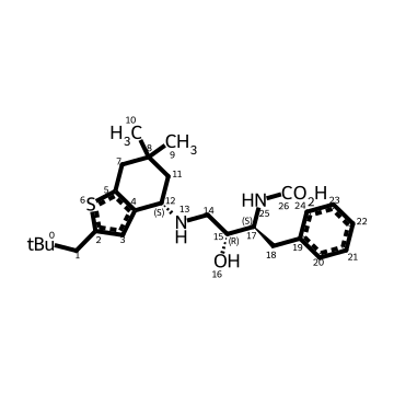 CC(C)(C)Cc1cc2c(s1)CC(C)(C)C[C@@H]2NC[C@@H](O)[C@H](Cc1ccccc1)NC(=O)O